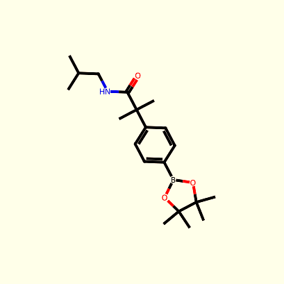 CC(C)CNC(=O)C(C)(C)c1ccc(B2OC(C)(C)C(C)(C)O2)cc1